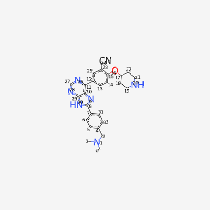 CN(C)Cc1ccc(-c2nc3c(-c4ccc(OC5CCNCC5)c(C#N)c4)ncnc3[nH]2)cc1